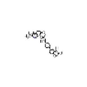 C=C(C)/C=C\c1c(N)ccc2c1O[C@@H](CNC1CCN(c3ccc4c(c3)NC(=O)CO4)CC1)CO2